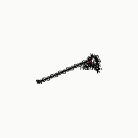 CC[C@]1(O)C(=O)OCc2c1cc1n(c2=O)Cc2c-1nc1cc(F)c(C)c3c1c2[C@H](NC(=O)C(C)(C)C(=O)NN=C(C)c1ccc(OCCOCCOCCOCCOCCOCCOCCOCCOCCOCCOCCOCCN=[N+]=[N-])cc1)CC3